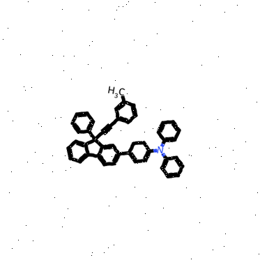 Cc1cccc(C#CC2(c3ccccc3)c3ccccc3-c3ccc(C4=CC=C(N(c5ccccc5)c5ccccc5)CC4)cc32)c1